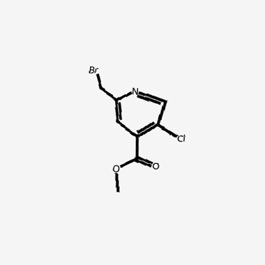 COC(=O)c1cc(CBr)ncc1Cl